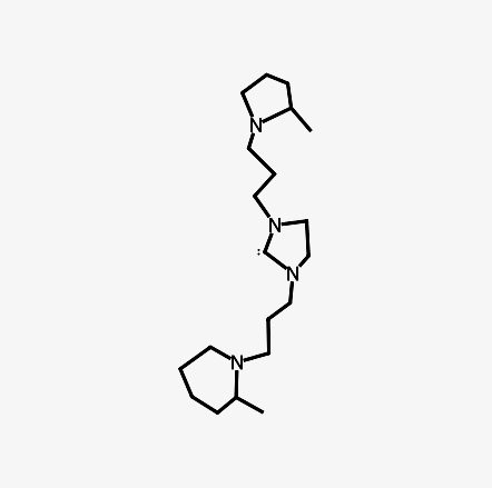 CC1CCCCN1CCCN1[C]N(CCCN2CCCC2C)CC1